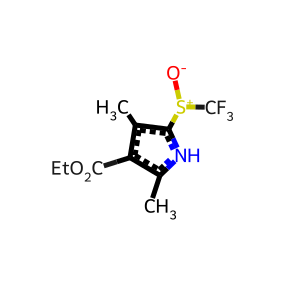 CCOC(=O)c1c(C)[nH]c([S+]([O-])C(F)(F)F)c1C